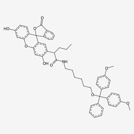 CCCC(C(=O)NCCCCCCOC(c1ccccc1)(c1ccc(OC)cc1)c1ccc(OC)cc1)c1cc2c(cc1O)Oc1cc(O)ccc1C21OC(=O)c2ccccc21